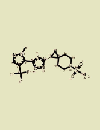 Cn1ncc(C(F)(F)F)c1-c1nc([C@@H]2CC23CCN(S(N)(=O)=O)CC3)no1